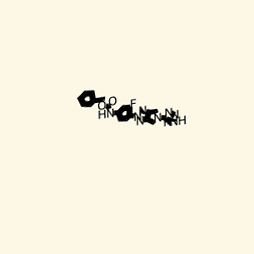 O=C(Nc1ccc(-n2nc3c(n2)CN(c2nn[nH]n2)C3)c(F)c1)OCc1ccccc1